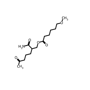 COCCCCCC(=O)OCC(CCCC(C)=O)C(N)=O